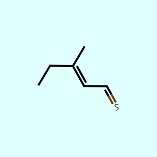 CCC(C)=CC=S